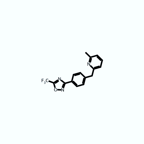 Cc1cccc(Cc2ccc(-c3noc(C(F)(F)F)n3)cc2)n1